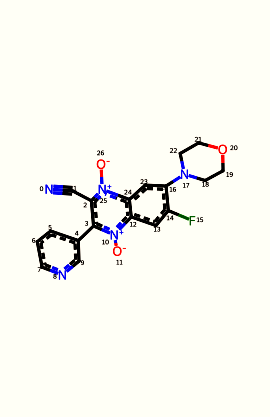 N#Cc1c(-c2cccnc2)[n+]([O-])c2cc(F)c(N3CCOCC3)cc2[n+]1[O-]